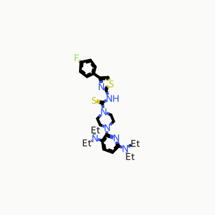 CCN(CC)c1ccc(N(CC)CC)c(N2CCN(C(=S)Nc3nc(-c4ccc(F)cc4)cs3)CC2)n1